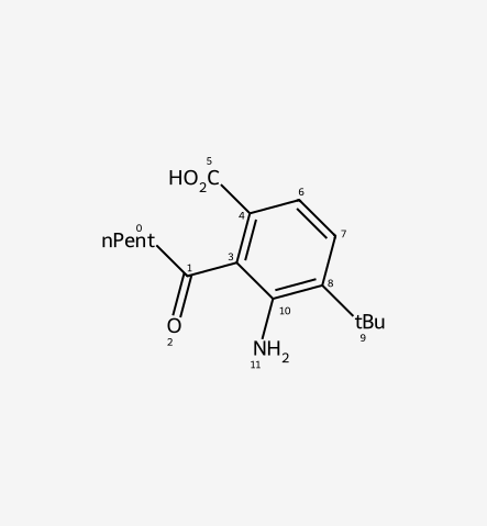 CCCCCC(=O)c1c(C(=O)O)ccc(C(C)(C)C)c1N